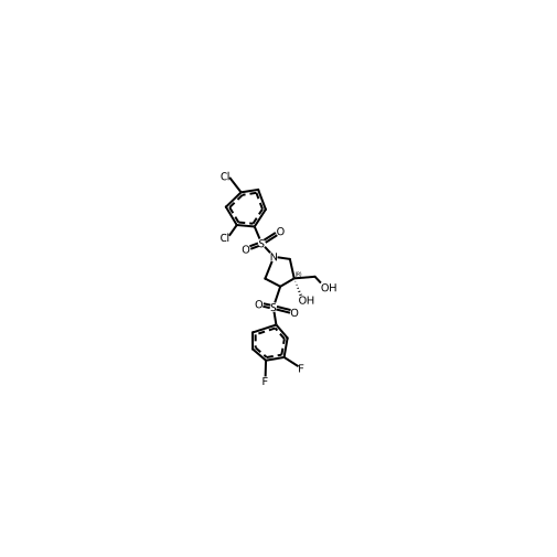 O=S(=O)(c1ccc(F)c(F)c1)C1CN(S(=O)(=O)c2ccc(Cl)cc2Cl)C[C@@]1(O)CO